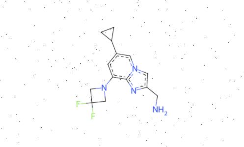 NCc1cn2cc(C3CC3)cc(N3CC(F)(F)C3)c2n1